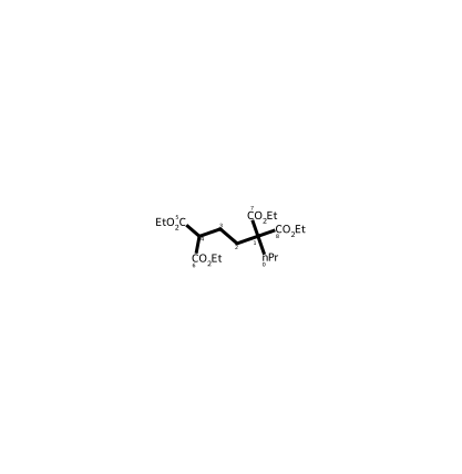 [CH2]CCC(CCC(C(=O)OCC)C(=O)OCC)(C(=O)OCC)C(=O)OCC